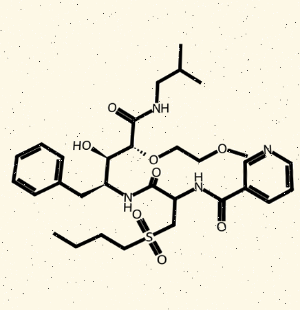 CCCCS(=O)(=O)CC(NC(=O)c1cccnc1)C(=O)N[C@@H](Cc1ccccc1)[C@@H](O)[C@@H](OCCOC)C(=O)NCC(C)C